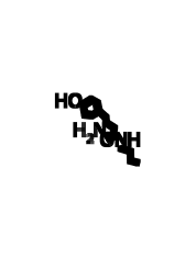 CCCCNC(=O)CC(N)Cc1ccc(O)cc1